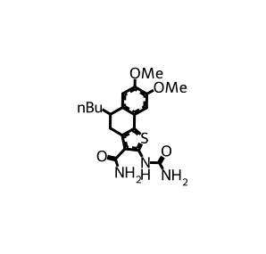 CCCCC1Cc2c(sc(NC(N)=O)c2C(N)=O)-c2cc(OC)c(OC)cc21